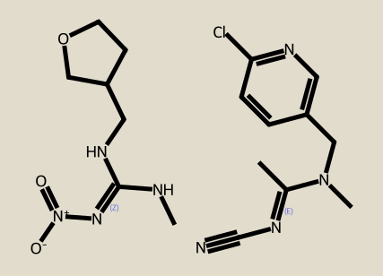 C/C(=N\C#N)N(C)Cc1ccc(Cl)nc1.CN/C(=N/[N+](=O)[O-])NCC1CCOC1